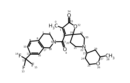 CC1=C(C(=O)N2CCc3ccc(C(F)(F)F)cc3C2)C2(CCN(C3CCOC(C)C3)CC2)OC1=O